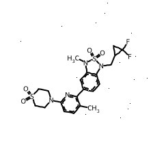 Cc1ccc(N2CCS(=O)(=O)CC2)nc1-c1ccc2c(c1)N(C)S(=O)(=O)N2CC1CC1(F)F